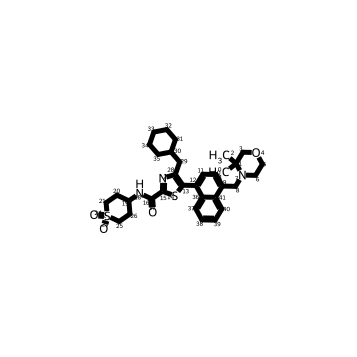 CC1(C)COCCN1Cc1ccc(-c2sc(C(=O)NC3CCS(=O)(=O)CC3)nc2CC2CCCCC2)c2ccccc12